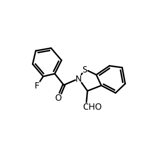 O=CC1c2ccccc2SN1C(=O)c1ccccc1F